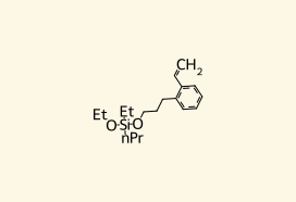 C=Cc1ccccc1CCCO[Si](CC)(CCC)OCC